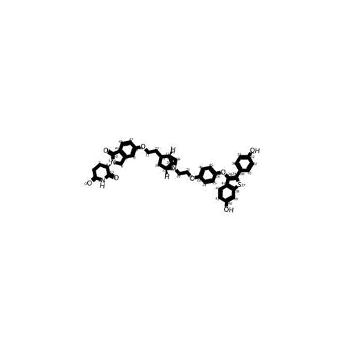 O=C1CC[C@H](N2Cc3cc(OCCC4C[C@@H]5C[C@H]4CN5CCOc4ccc(Oc5c(-c6ccc(O)cc6)sc6cc(O)ccc56)cc4)ccc3C2=O)C(=O)N1